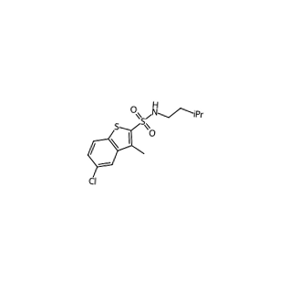 Cc1c(S(=O)(=O)NCCC(C)C)sc2ccc(Cl)cc12